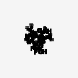 CNC(=O)c1c(-c2cn(C(C)C)c3ncnc(N)c23)noc1C1CC1.O=C(O)C(F)(F)F